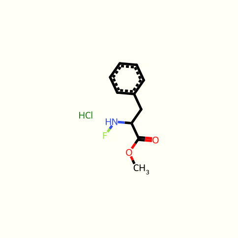 COC(=O)C(Cc1ccccc1)NF.Cl